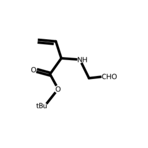 C=CC(NCC=O)C(=O)OC(C)(C)C